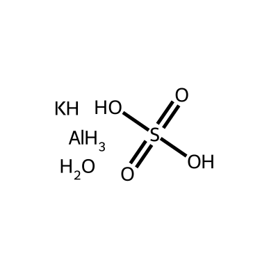 O.O=S(=O)(O)O.[AlH3].[KH]